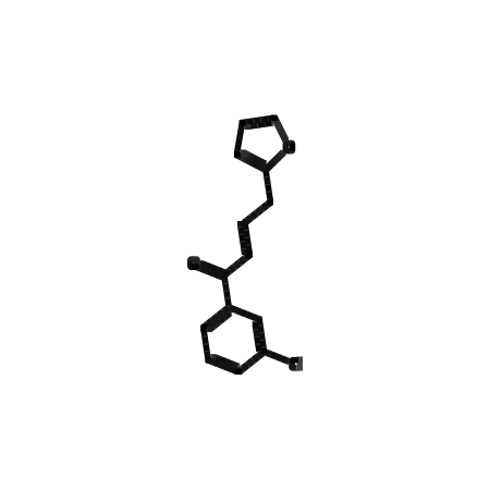 O=C(C=CCc1ccco1)c1cccc(Cl)c1